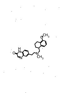 COc1cccc2c1CCCC2CN(C)CCc1ccc2[nH]c(=O)cnc2c1